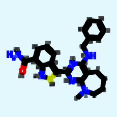 CN1CCCCc2c(NCc3ccccc3)nc(-c3snc4c(C(N)=O)cccc34)nc21